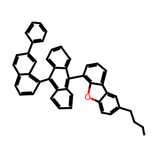 CCCCc1ccc2oc3c(-c4c5ccccc5c(-c5cccc6ccc(-c7ccccc7)cc56)c5ccccc45)cccc3c2c1